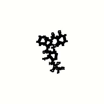 CCN(C)S(=O)(=O)Nc1ccc(F)c(C(=O)c2cn(C(=O)c3c(Cl)cccc3Cl)c3ncccc23)c1F